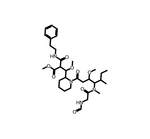 CCC(C)C(C(CC(=O)N1CCCCC1C(OC)C(C(=O)NCCc1ccccc1)C(=O)OC)OC)N(C)C(=O)CNC=O